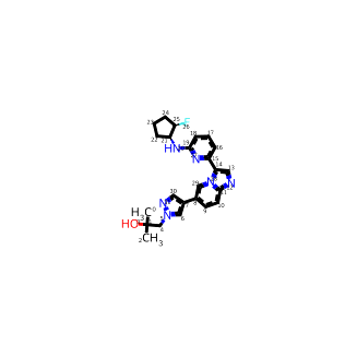 CC(C)(O)Cn1cc(-c2ccc3ncc(-c4cccc(N[C@H]5CCC[C@H]5F)n4)n3c2)cn1